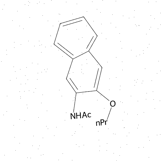 CCCOc1cc2ccccc2cc1NC(C)=O